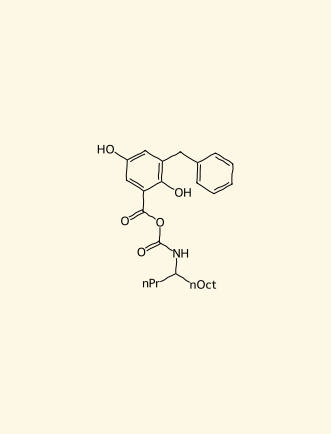 CCCCCCCCC(CCC)NC(=O)OC(=O)c1cc(O)cc(Cc2ccccc2)c1O